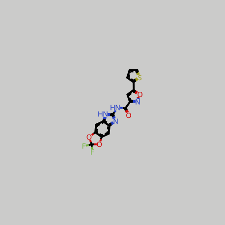 O=C(Nc1nc2cc3c(cc2[nH]1)OC(F)(F)O3)c1cc(-c2cccs2)on1